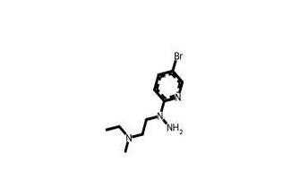 CCN(C)CCN(N)c1ccc(Br)cn1